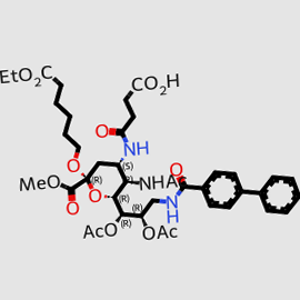 CCOC(=O)CCCCCO[C@]1(C(=O)OC)C[C@H](NC(=O)CCC(=O)O)[C@@H](NC(C)=O)[C@H]([C@H](OC(C)=O)[C@@H](CNC(=O)c2ccc(-c3ccccc3)cc2)OC(C)=O)O1